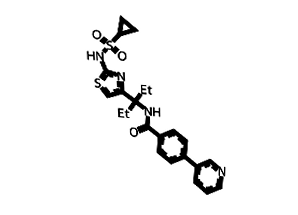 CCC(CC)(NC(=O)c1ccc(-c2cccnc2)cc1)c1csc(NS(=O)(=O)C2CC2)n1